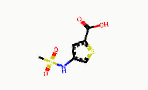 CS(=O)(=O)Nc1csc(C(=O)O)c1